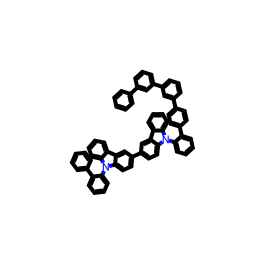 c1ccc(-c2cccc(-c3cccc(-c4ccc(-c5ccccc5-n5c6ccccc6c6cc(-c7ccc8c(c7)c7ccccc7n8-c7ccccc7-c7ccccc7)ccc65)cc4)c3)c2)cc1